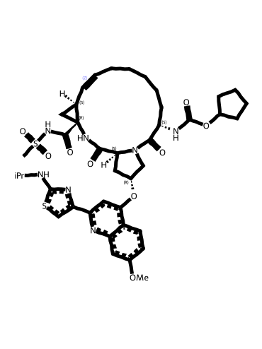 COc1ccc2c(O[C@@H]3C[C@H]4C(=O)N[C@]5(C(=O)NS(C)(=O)=O)C[C@H]5/C=C\CCCCC[C@H](NC(=O)OC5CCCC5)C(=O)N4C3)cc(-c3csc(NC(C)C)n3)nc2c1